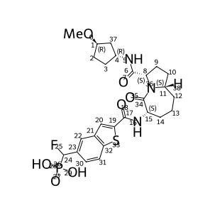 CO[C@@H]1CC[C@@H](NC(=O)[C@@H]2CC[C@@H]3CCC[C@H](NC(=O)c4cc5cc(C(F)P(=O)(O)O)ccc5s4)C(=O)N32)C1